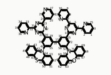 c1ccc(-c2cc(-c3ccccn3)nc(-c3cc(-c4cc(-c5nc(-c6cccnc6)nc(-c6ccccn6)n5)cc(N5c6ccccc6Sc6ccccc65)c4)cc(N4c5ccccc5Oc5ccccc54)c3)n2)nc1